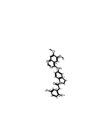 COc1cc2ncnc(Nc3ccc4c(c3)CCN4C(=O)Cc3cc(F)ccc3F)c2cc1OC